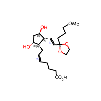 COCCCC1(/C=C/[C@@H]2[C@@H](C/C=C\CCCC(=O)O)[C@H](O)C[C@H]2O)OCCO1